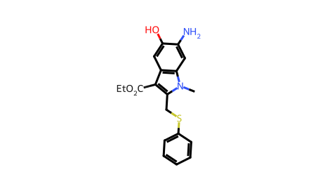 CCOC(=O)c1c(CSc2ccccc2)n(C)c2cc(N)c(O)cc12